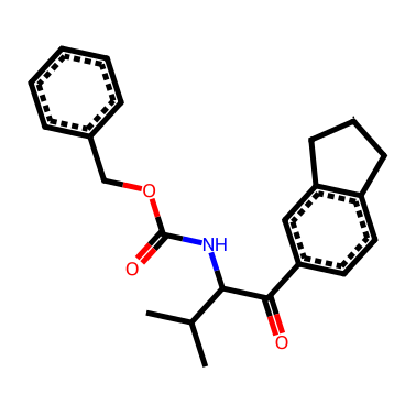 CC(C)C(NC(=O)OCc1ccccc1)C(=O)c1ccc2c(c1)C[CH]C2